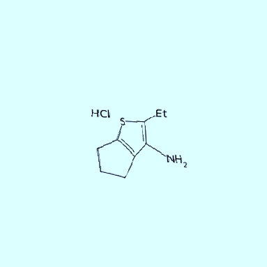 CCc1sc2c(c1N)CCC2.Cl